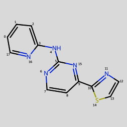 c1ccc(Nc2nccc(-c3nccs3)n2)nc1